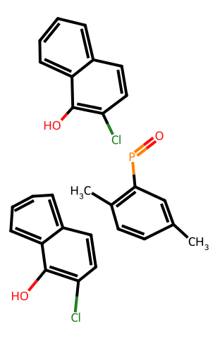 Cc1ccc(C)c(P=O)c1.Oc1c(Cl)ccc2ccccc12.Oc1c(Cl)ccc2ccccc12